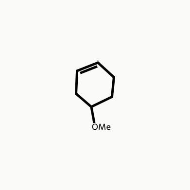 COC1CC=[C]CC1